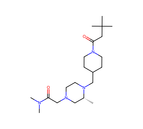 C[C@@H]1CN(CC(=O)N(C)C)CCN1CC1CCN(C(=O)CC(C)(C)C)CC1